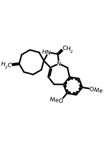 C=C1CCCC2(CCC1)NC(=C)N1Cc3cc(OC)cc(OC)c3CC=C12